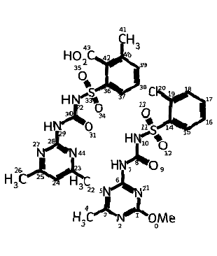 COc1nc(C)nc(NC(=O)NS(=O)(=O)c2ccccc2Cl)n1.Cc1cc(C)nc(NC(=O)NS(=O)(=O)c2cccc(C)c2C(=O)O)n1